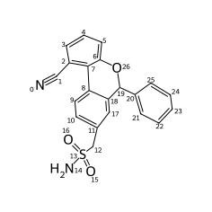 N#Cc1cccc2c1-c1ccc(CS(N)(=O)=O)cc1C(c1ccccc1)O2